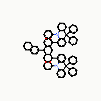 c1ccc(N2c3ccccc3C(c3ccccc3)(c3ccccc3)c3cccc(-c4cccc5c(-c6ccc7ccccc7c6)c6cccc(-c7cccc8c7N(c7ccccc7)c7ccccc7C8(c7ccccc7)c7ccccc7)c6cc45)c32)cc1